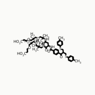 Cc1ccc(SCC(CSc2ccc(C)cc2)C(=O)c2ccc(C(=O)NC(CC(=O)NC(C)(C)COCC(C)(C)COCCC(=O)O)C(=O)NCC(C)(C)COCC(C)(C)COCCC(=O)O)cc2)cc1